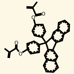 C=C(C)C(=O)Oc1ccc(C2(c3ccc(OC(=O)C(=C)C)cc3)c3cc4ccccc4cc3-c3cc4ccccc4cc32)cc1